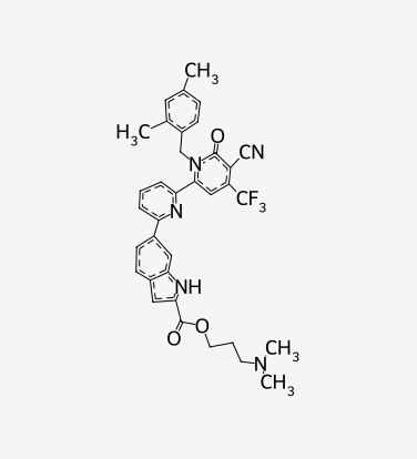 Cc1ccc(Cn2c(-c3cccc(-c4ccc5cc(C(=O)OCCCN(C)C)[nH]c5c4)n3)cc(C(F)(F)F)c(C#N)c2=O)c(C)c1